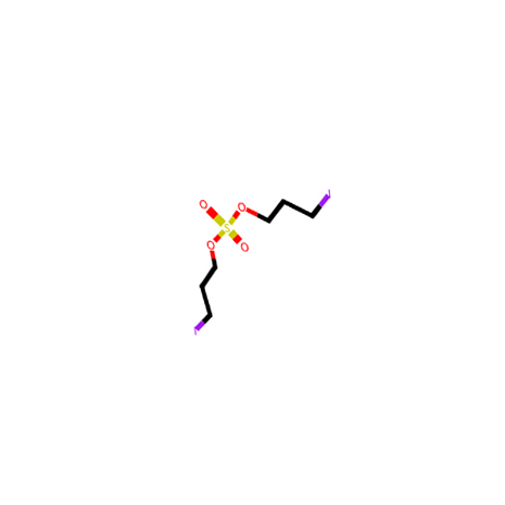 O=S(=O)(OCCCI)OCCCI